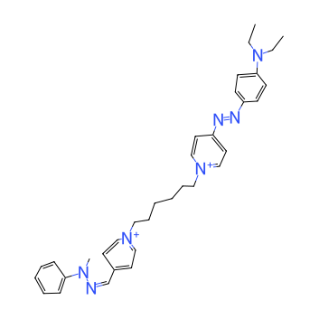 CCN(CC)c1ccc(/N=N/c2cc[n+](CCCCCC[n+]3ccc(/C=N\N(C)c4ccccc4)cc3)cc2)cc1